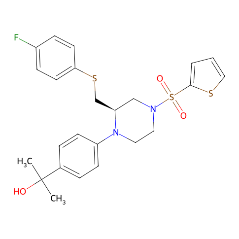 CC(C)(O)c1ccc(N2CCN(S(=O)(=O)c3cccs3)C[C@@H]2CSc2ccc(F)cc2)cc1